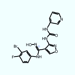 O=C(Nc1cccnc1)Nc1nocc1/C(=N/O)Nc1ccc(F)c(Br)c1